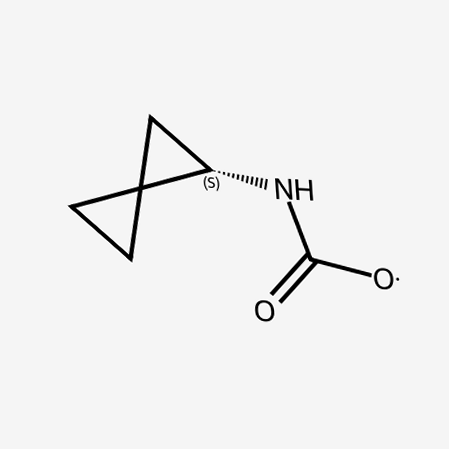 [O]C(=O)N[C@H]1CC12CC2